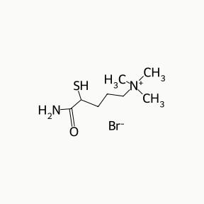 C[N+](C)(C)CCCC(S)C(N)=O.[Br-]